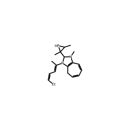 CC/C=C\C=C(/C)N1C2=C(C=CC=CC2)N(C)C1C1(C)PC1C